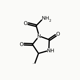 [CH2]C1NC(=O)N(C(N)=O)C1=O